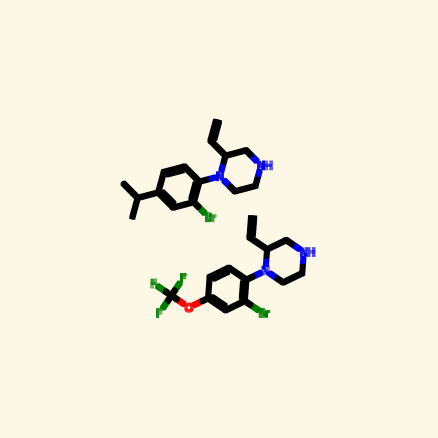 C=CC1CNCCN1c1ccc(C(C)C)cc1Br.C=CC1CNCCN1c1ccc(OC(F)(F)F)cc1Br